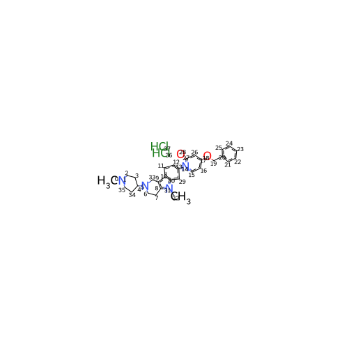 CN1CCC(N2CCc3c(c4ccc(-n5ccc(OCc6ccccc6)cc5=O)cc4n3C)C2)CC1.Cl.Cl